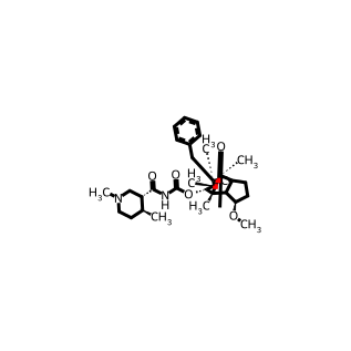 CO[C@@H]1CCC23CC[C@@H](C)[C@](C)(C12)[C@H](OC(=O)NC(=O)[C@H]1CN(C)CC[C@@H]1C)C[C@@](C)(Cc1ccccc1)C(=O)[C@@H]3C